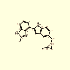 Cc1nc2c(-c3cc4cc(CN5CC5C)ccc4[nH]3)ccnc2[nH]1